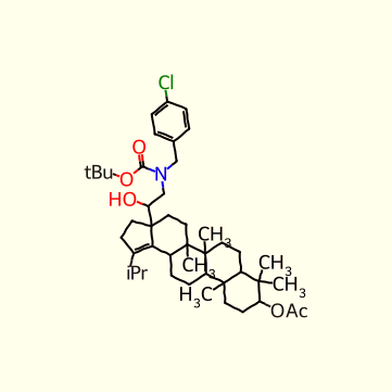 CC(=O)OC1CCC2(C)C(CCC3(C)C2CCC2C4=C(C(C)C)CCC4(C(O)CN(Cc4ccc(Cl)cc4)C(=O)OC(C)(C)C)CCC23C)C1(C)C